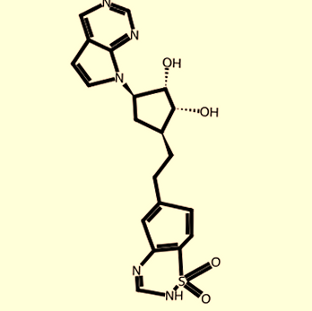 O=S1(=O)NC=Nc2cc(CC[C@H]3C[C@@H](n4ccc5cncnc54)[C@H](O)[C@@H]3O)ccc21